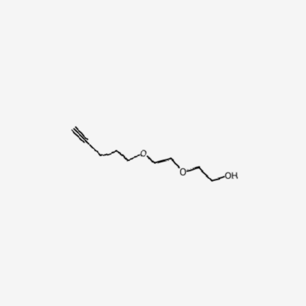 C#CCCCOCCOCCO